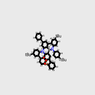 CC(C)(C)c1ccc(N2B3c4cc5c(cc4N(c4ccc(C(C)(C)C)cc4-c4ccccc4)c4cc(-c6ccccc6)cc(c43)-c3cc(C(C)(C)C)ccc32)sc2ccccc25)cc1